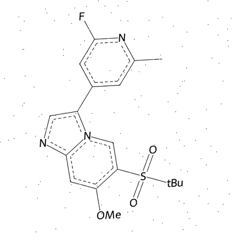 COc1cc2ncc(-c3cc(C)nc(F)c3)n2cc1S(=O)(=O)C(C)(C)C